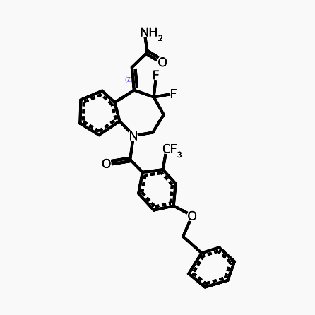 NC(=O)/C=C1/c2ccccc2N(C(=O)c2ccc(OCc3ccccc3)cc2C(F)(F)F)CCC1(F)F